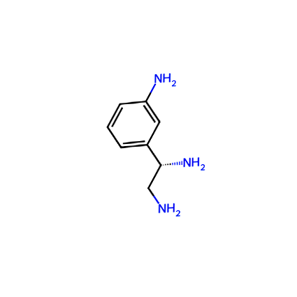 NC[C@@H](N)c1cccc(N)c1